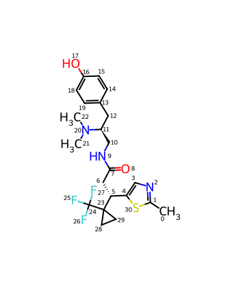 Cc1ncc([C@@H](CC(=O)NC[C@H](Cc2ccc(O)cc2)N(C)C)C2(C(F)(F)F)CC2)s1